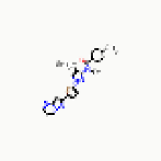 CCOC(=O)c1cn(-c2ccc(-c3cc4ncccn4n3)s2)nc1N(C(=O)C1CCC(C)CC1)C(C)C